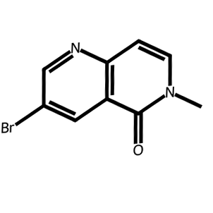 Cn1ccc2ncc(Br)cc2c1=O